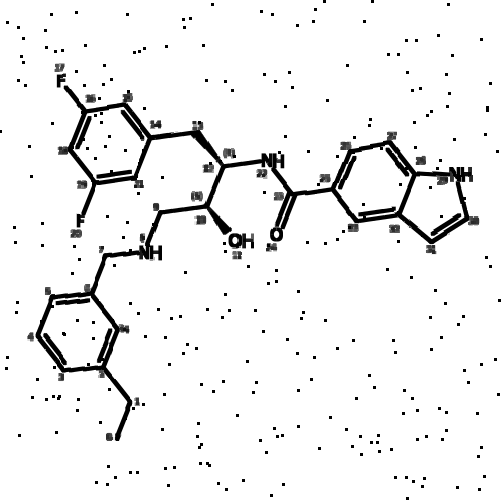 CCc1cccc(CNC[C@H](O)[C@@H](Cc2cc(F)cc(F)c2)NC(=O)c2ccc3[nH]ccc3c2)c1